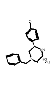 Cl.Cl.Clc1ccc([C@@H]2CN(Cc3ccccc3)CCN2)cc1